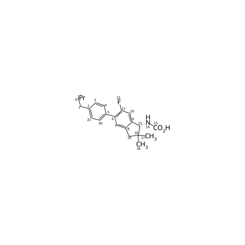 CC(C)Cc1ccc(-c2cc3c(cc2F)[C@H](NC(=O)O)C(C)(C)C3)cc1